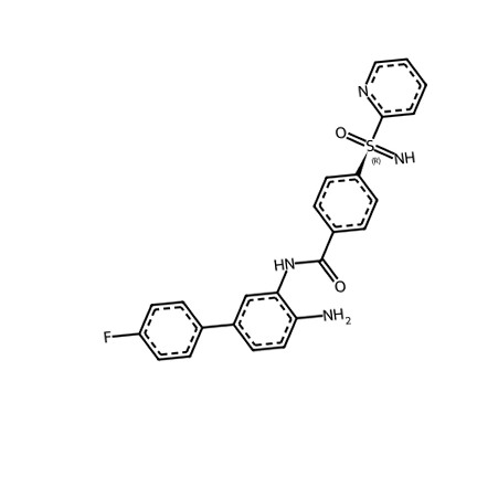 N=[S@@](=O)(c1ccc(C(=O)Nc2cc(-c3ccc(F)cc3)ccc2N)cc1)c1ccccn1